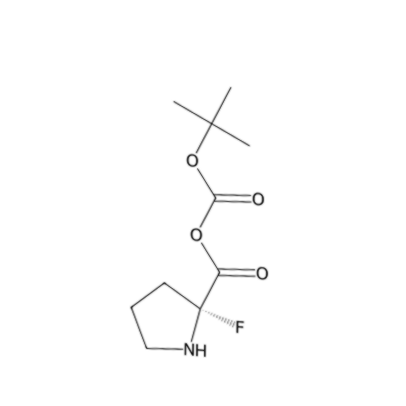 CC(C)(C)OC(=O)OC(=O)[C@]1(F)CCCN1